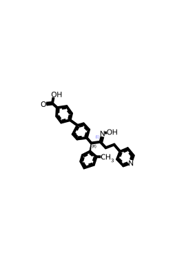 Cc1ccccc1[C@H](/C(CCc1ccncc1)=N/O)c1ccc(-c2ccc(C(=O)O)cc2)cc1